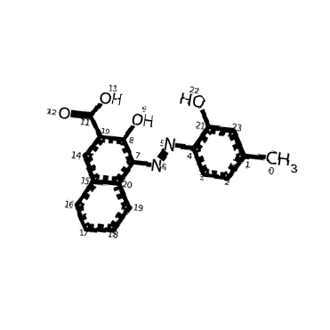 Cc1ccc(/N=N/c2c(O)c(C(=O)O)cc3ccccc23)c(O)c1